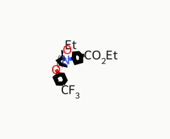 CCOC[C@@H]1C[C@@H](Oc2ccc(C(F)(F)F)cc2)CN1c1ccc(C(=O)OCC)cc1